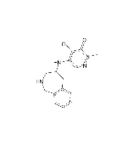 Cn1ncc(NC2CNCc3ccccc3C2)c(Cl)c1=O